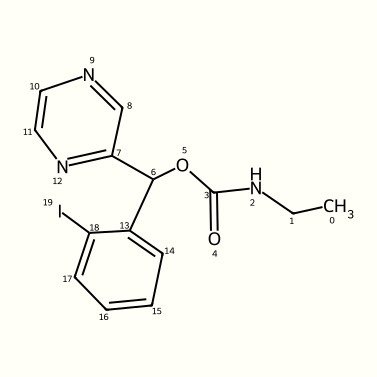 CCNC(=O)OC(c1cnccn1)c1ccccc1I